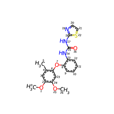 COc1cc(C)c(Oc2ccccc2NC(=O)Nc2nccs2)cc1OC